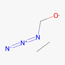 CC.[N-]=[N+]=NC[O]